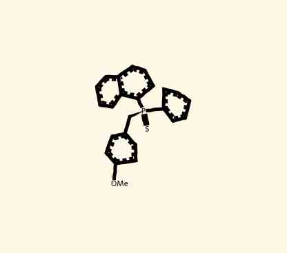 COc1ccc(C[P@](=S)(c2ccccc2)c2cccc3ccccc23)cc1